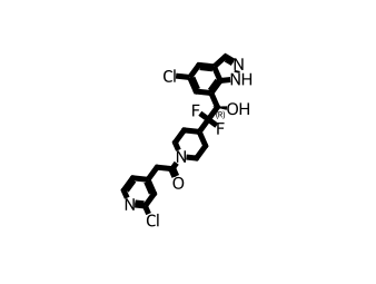 O=C(Cc1ccnc(Cl)c1)N1CCC(C(F)(F)[C@H](O)c2cc(Cl)cc3cn[nH]c23)CC1